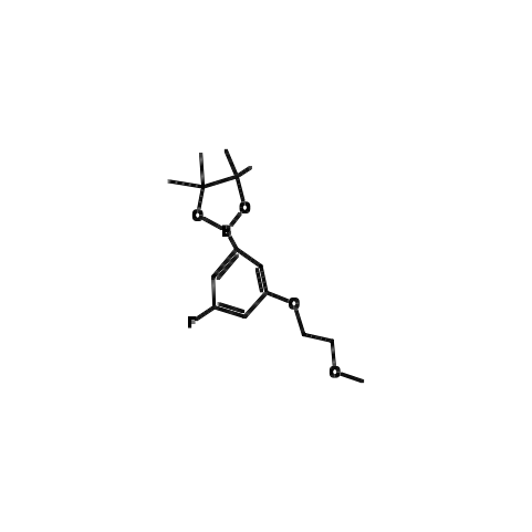 COCCOc1cc(F)cc(B2OC(C)(C)C(C)(C)O2)c1